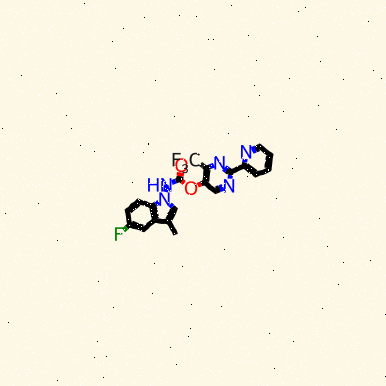 Cc1cn(NC(=O)Oc2cnc(-c3ccccn3)nc2C(F)(F)F)c2ccc(F)cc12